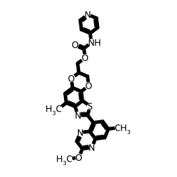 COc1cnc2c(-c3nc4c(C)cc5c(c4s3)OCC(COC(=O)Nc3ccncc3)O5)cc(C)cc2n1